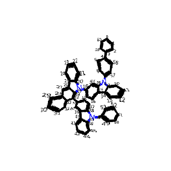 c1ccc(-c2ccc(-n3c4ccccc4c4ccc(-n5c6ccccc6c6cc7ccccc7c(-c7ccc8c(c7)c7ccccc7n8-c7ccccc7)c65)cc43)cc2)cc1